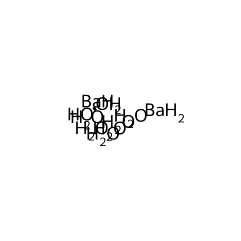 O.O.O.O.O.O.OO.[BaH2].[BaH2]